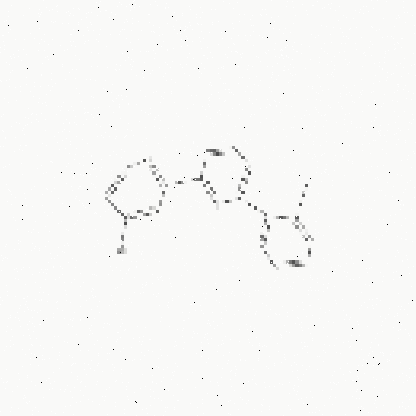 Cc1ccccc1-c1cccc(-c2cccc(Br)c2)n1